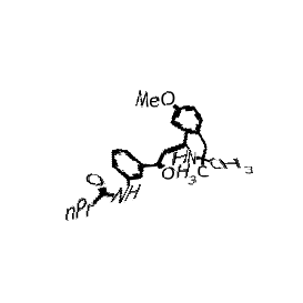 CCCC(=O)Nc1cccc(C(=O)C=C2NC(C)(C)Cc3ccc(OC)cc32)c1